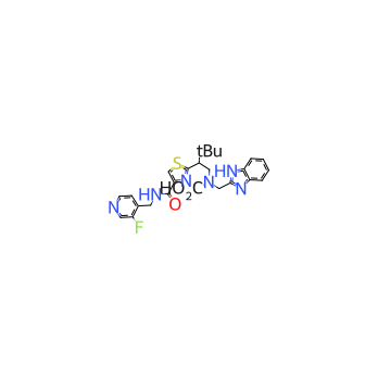 CC(C)(C)C(CN(Cc1nc2ccccc2[nH]1)C(=O)O)c1nc(C(=O)NCc2ccncc2F)cs1